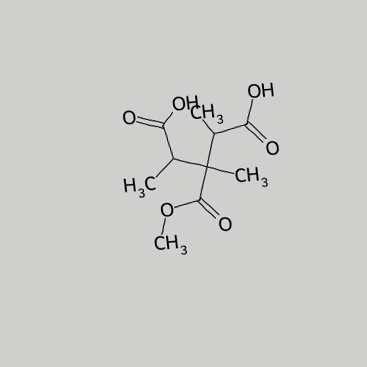 COC(=O)C(C)(C(C)C(=O)O)C(C)C(=O)O